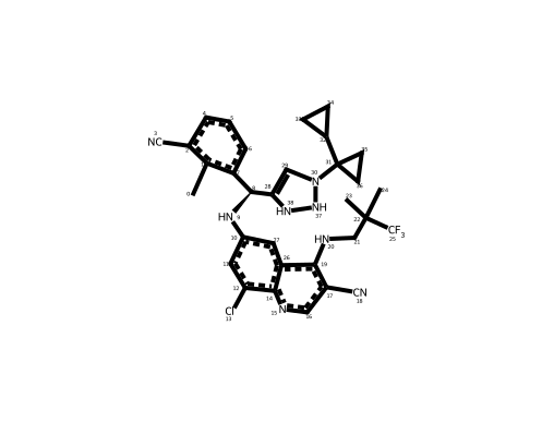 Cc1c(C#N)cccc1[C@H](Nc1cc(Cl)c2ncc(C#N)c(NCC(C)(C)C(F)(F)F)c2c1)C1=CN(C2(C3CC3)CC2)NN1